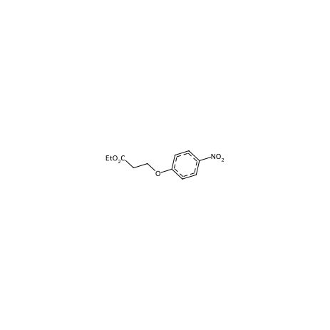 CCOC(=O)CCOc1ccc([N+](=O)[O-])cc1